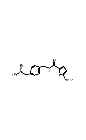 CCCN(CC)Cc1ccc(CNC(=O)c2ccc(NC(C)=O)s2)cc1